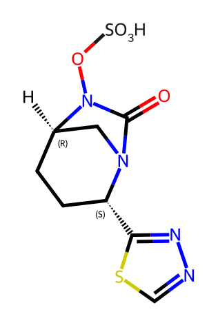 O=C1N2C[C@@H](CC[C@H]2c2nncs2)N1OS(=O)(=O)O